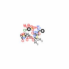 CC1(C)S[C@@H]2[C@H](NC(=O)[C@H](N)c3ccccc3)C(=O)N2[C@H]1C(=O)OCOC(=O)[C@@H]1N2C(=O)C[C@@H]2S(=O)(=O)C1(C)C.O.O.O=S(=O)(O)c1ccc(Cl)cc1